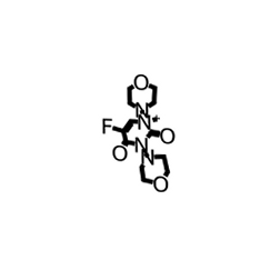 C[N+]1(N2CCOCC2)C=C(F)C(=O)N(N2CCOCC2)C1=O